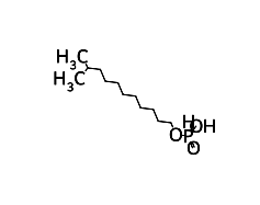 CC(C)CCCCCCCCCO[PH](=O)O